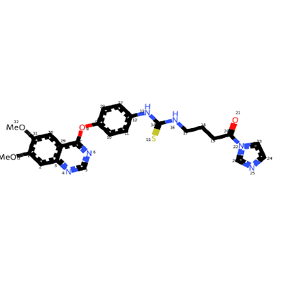 COc1cc2ncnc(Oc3ccc(NC(=S)NCCCC(=O)n4ccnc4)cc3)c2cc1OC